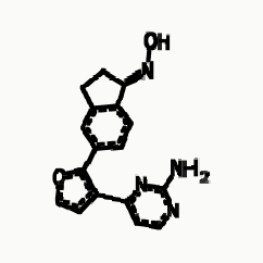 Nc1nccc(-c2ccoc2-c2ccc3c(c2)CCC3=NO)n1